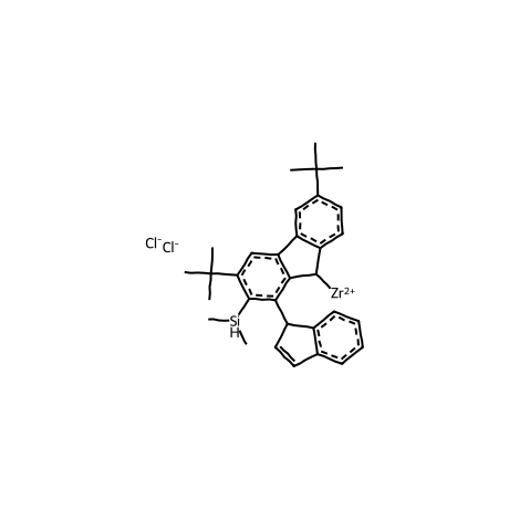 C[SiH](C)c1c(C(C)(C)C)cc2c(c1C1C=Cc3ccccc31)[CH]([Zr+2])c1ccc(C(C)(C)C)cc1-2.[Cl-].[Cl-]